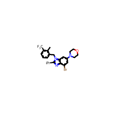 Cc1c(Cn2c(C(C)C)nc3c(Br)cc(N4CCOCC4)cc32)cccc1C(F)(F)F